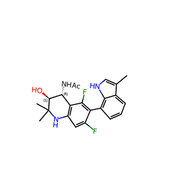 CC(=O)N[C@@H]1c2c(cc(F)c(-c3cccc4c(C)c[nH]c34)c2F)NC(C)(C)[C@H]1O